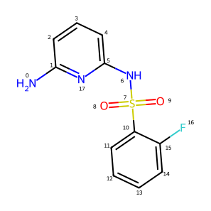 Nc1cccc(NS(=O)(=O)c2ccccc2F)n1